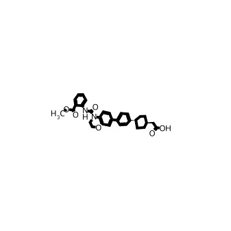 COC(=O)c1ccccc1NC(=O)N1CCOc2cc(-c3ccc([C@H]4CC[C@H](CC(=O)O)CC4)cc3)ccc21